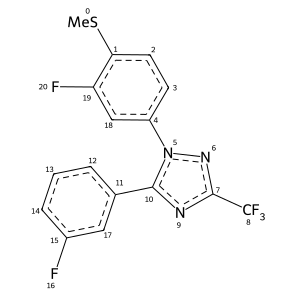 CSc1ccc(-n2nc(C(F)(F)F)nc2-c2cccc(F)c2)cc1F